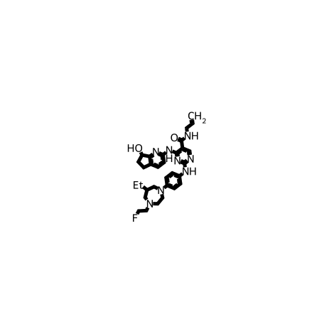 C=CCNC(=O)c1cnc(Nc2ccc(N3CCN(CCF)CC(CC)C3)cc2)nc1Nc1ccc2c(n1)C(O)CC2